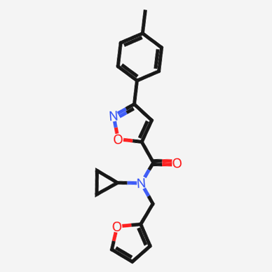 Cc1ccc(-c2cc(C(=O)N(Cc3ccco3)C3CC3)on2)cc1